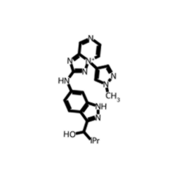 CC(C)C(O)c1n[nH]c2cc(NC3=N[N+]4(c5cnn(C)c5)C=CN=CC4=N3)ccc12